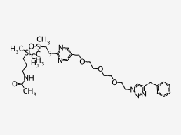 CC(=O)NCCC[Si](C)(C)O[Si](C)(C)CSc1ncc(COCCOCCOCCn2cc(Cc3ccccc3)nn2)cn1